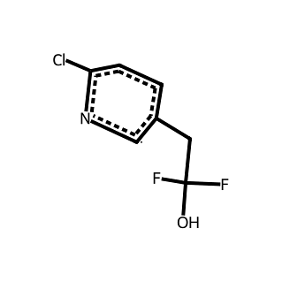 OC(F)(F)Cc1[c]nc(Cl)cc1